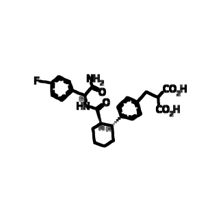 NC(=O)[C@@H](NC(=O)[C@@H]1CCCC[C@H]1c1ccc(CC(C(=O)O)C(=O)O)cc1)c1ccc(F)cc1